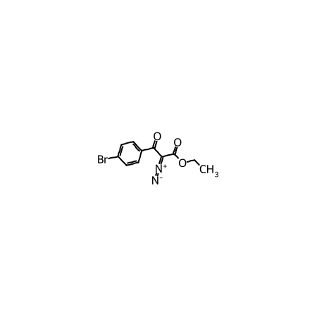 CCOC(=O)C(=[N+]=[N-])C(=O)c1ccc(Br)cc1